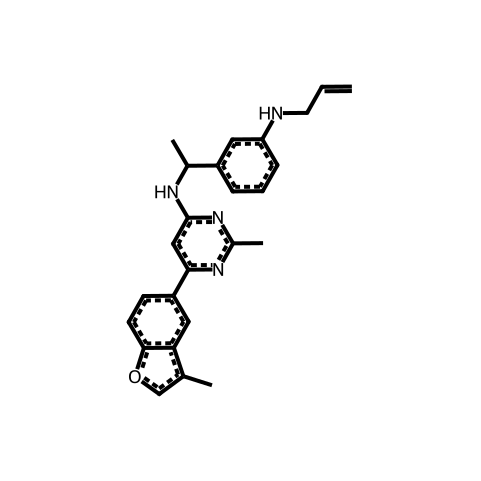 C=CCNc1cccc(C(C)Nc2cc(-c3ccc4occ(C)c4c3)nc(C)n2)c1